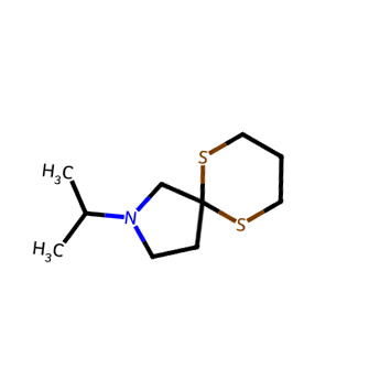 CC(C)N1CCC2(C1)SCCCS2